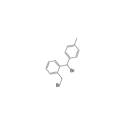 Cc1ccc(C(Br)c2ccccc2CBr)cc1